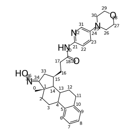 C[C@]12CCC3c4ccccc4CCC3C1[C@H](CCC(=O)Nc1ccc(N3CCOCC3)cn1)C/C2=N\O